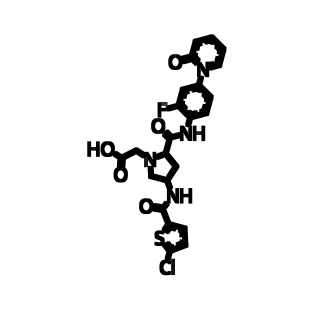 O=C(O)CN1CC(NC(=O)c2ccc(Cl)s2)CC1C(=O)Nc1ccc(-n2ccccc2=O)cc1F